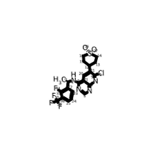 C[C@@H](Nc1ncnc2nc(Cl)c(C3CCS(=O)(=O)CC3)cc12)c1cccc(C(F)(F)F)c1F